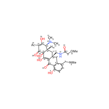 CNCc1ccc(O)c2c1C[C@@]1(CNC(=O)COC)C[C@H]3[C@H](N(C)C)C(O)=C(C(C)=O)C(=O)[C@@]3(O)C(O)=C1C2=O